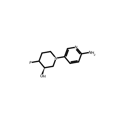 Nc1ccc(N2CCC(F)[C@H](O)C2)cn1